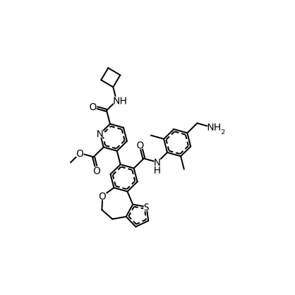 COC(=O)c1nc(C(=O)NC2CCC2)ccc1-c1cc2c(cc1C(=O)Nc1c(C)cc(CN)cc1C)-c1sccc1CCO2